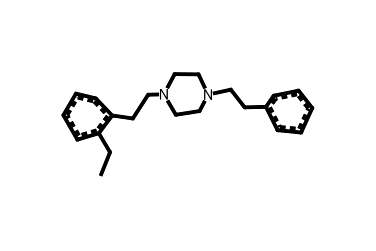 CCc1ccccc1CCN1CCN(CCc2ccccc2)CC1